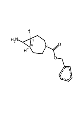 NC1[C@H]2CCN(C(=O)OCc3ccccc3)CC[C@@H]12